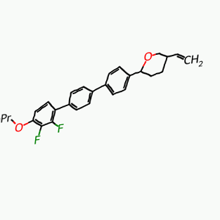 C=CC1CCC(c2ccc(-c3ccc(-c4ccc(OCCC)c(F)c4F)cc3)cc2)OC1